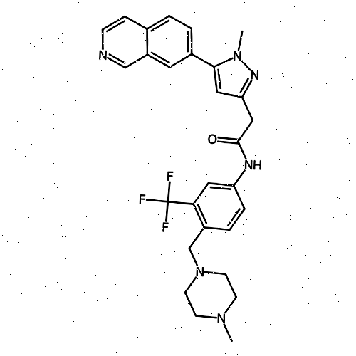 CN1CCN(Cc2ccc(NC(=O)Cc3cc(-c4ccc5ccncc5c4)n(C)n3)cc2C(F)(F)F)CC1